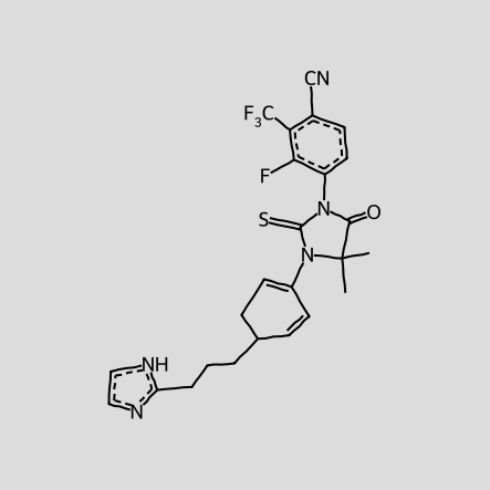 CC1(C)C(=O)N(c2ccc(C#N)c(C(F)(F)F)c2F)C(=S)N1C1=CCC(CCCc2ncc[nH]2)C=C1